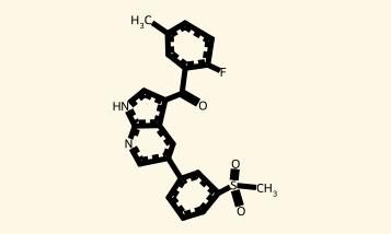 Cc1ccc(F)c(C(=O)c2c[nH]c3ncc(-c4cccc(S(C)(=O)=O)c4)cc23)c1